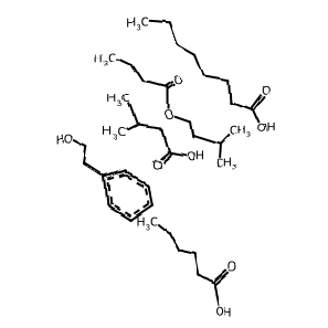 CC(C)CC(=O)O.CCCC(=O)OCCC(C)C.CCCCCC(=O)O.CCCCCCCC(=O)O.OCCc1ccccc1